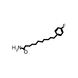 NC(=O)CCCCCCCCCCc1ccc(F)cc1